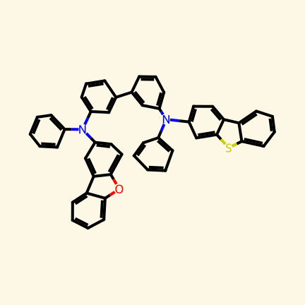 c1ccc(N(c2cccc(-c3cccc(N(c4ccccc4)c4ccc5oc6ccccc6c5c4)c3)c2)c2ccc3c(c2)sc2ccccc23)cc1